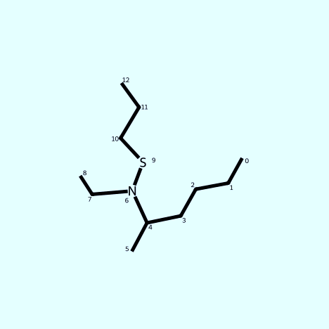 CCCCC(C)N(CC)SCCC